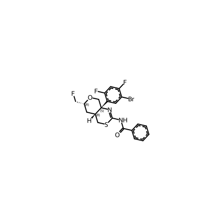 O=C(NC1=N[C@@]2(c3cc(Br)c(F)cc3F)CO[C@@H](CF)C[C@H]2CS1)c1ccccc1